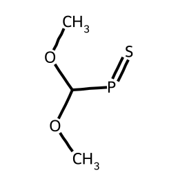 COC(OC)P=S